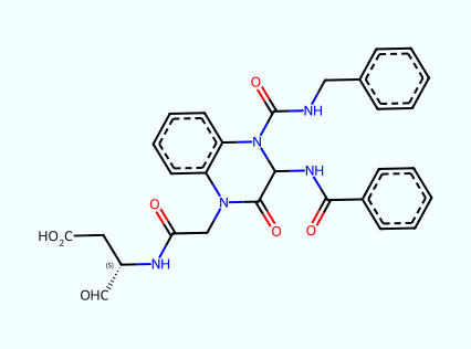 O=C[C@H](CC(=O)O)NC(=O)CN1C(=O)C(NC(=O)c2ccccc2)N(C(=O)NCc2ccccc2)c2ccccc21